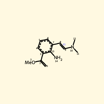 C=C(OC)c1cccc(/C=C/N(C)C)c1N